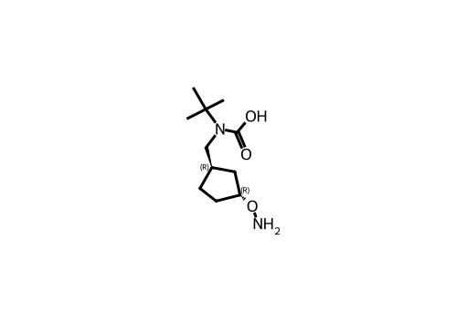 CC(C)(C)N(C[C@@H]1CC[C@@H](ON)C1)C(=O)O